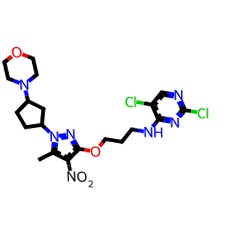 Cc1c([N+](=O)[O-])c(OCCCNc2nc(Cl)ncc2Cl)nn1C1CCC(N2CCOCC2)C1